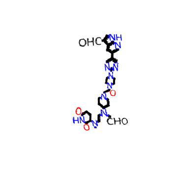 CN(CCN(CC=O)C1CCN(CC(=O)N2CCN(c3ncc(-c4cnc5[nH]cc(C=O)c5c4)cn3)CC2)CC1)C1CCC(=O)NC1=O